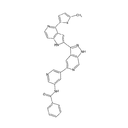 Cc1ccc(-c2nccc3[nH]c(-c4n[nH]c5cnc(-c6cncc(NC(=O)c7ccccc7)c6)cc45)cc23)s1